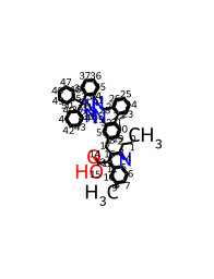 CCCc1nc2ccc(C)cc2c(C(=O)O)c1Cc1ccc(-c2ccccc2-c2nnn(C(c3ccccc3)(c3ccccc3)c3ccccc3)n2)cc1